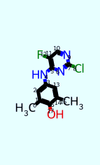 Cc1cc(Nc2nc(Cl)ncc2F)cc(C)c1O